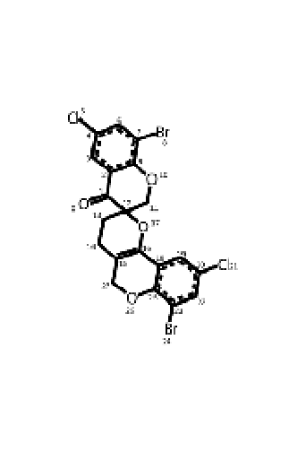 O=C1c2cc(Cl)cc(Br)c2OCC12CCC1=C(O2)c2cc(Cl)cc(Br)c2OC1